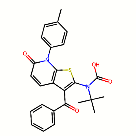 Cc1ccc(-n2c(=O)ccc3c(C(=O)c4ccccc4)c(N(C(=O)O)C(C)(C)C)sc32)cc1